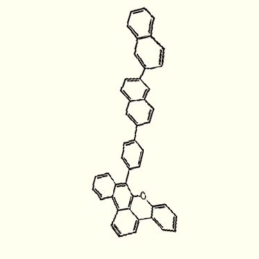 c1ccc2c(c1)Oc1c(-c3ccc(-c4ccc5cc(-c6ccc7ccccc7c6)ccc5c4)cc3)c3ccccc3c3cccc-2c13